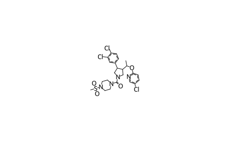 CC(Oc1ccc(Cl)cn1)C1CN(C(=O)N2CCN(S(C)(=O)=O)CC2)CC1c1ccc(Cl)c(Cl)c1